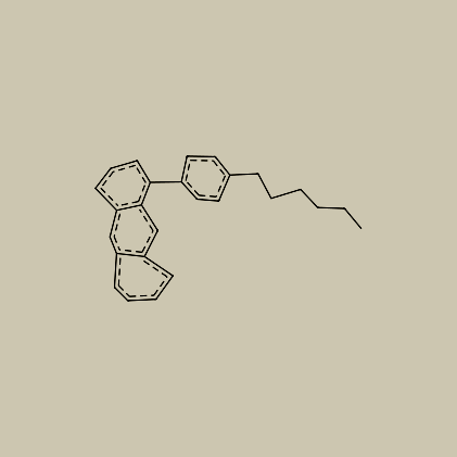 CCCCCCc1ccc(-c2cccc3cc4ccccc4cc23)cc1